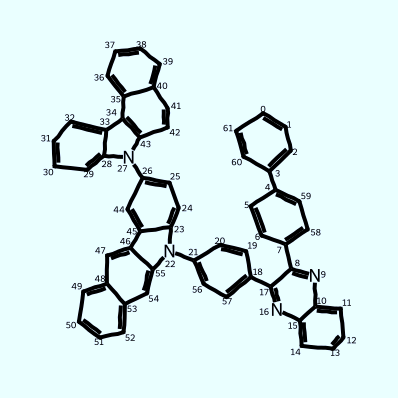 c1ccc(-c2ccc(-c3nc4ccccc4nc3-c3ccc(-n4c5ccc(-n6c7ccccc7c7c8ccccc8ccc76)cc5c5cc6ccccc6cc54)cc3)cc2)cc1